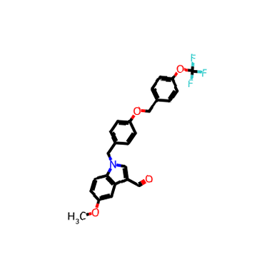 COc1ccc2c(c1)c(C=O)cn2Cc1ccc(OCc2ccc(OC(F)(F)F)cc2)cc1